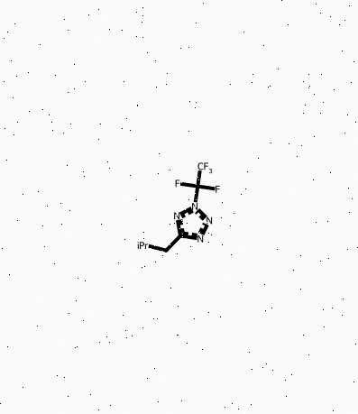 CC(C)Cc1nnn(C(F)(F)C(F)(F)F)n1